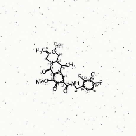 C=CCN1C(=O)c2c(OC)c(=O)c(C(=O)NCc3ccc(F)c(Cl)c3F)cn2C(C)C1COCCC